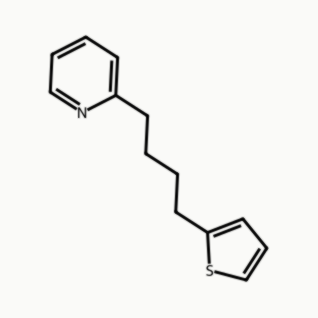 c1ccc(CCCCc2cccs2)nc1